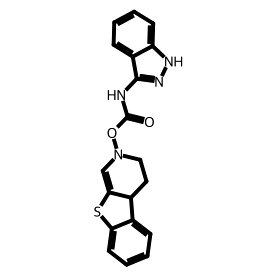 O=C(Nc1n[nH]c2ccccc12)ON1C=C2Sc3ccccc3C2CC1